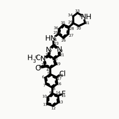 Cn1c(=O)c(-c2ccc(-c3ccccc3F)cc2Cl)cc2cnc(Nc3ccc(C4CCNCC4)cc3)nc21